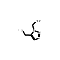 NCc1cnnn1CC=O